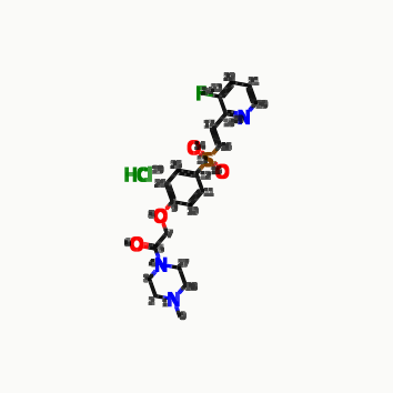 CN1CCN(C(=O)COc2ccc(S(=O)(=O)/C=C/c3ncccc3F)cc2)CC1.Cl